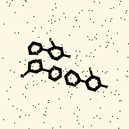 Brc1ccnc(-c2ccccn2)c1.Fc1ccc(-c2ccccn2)c(F)c1.Fc1ccc(-c2ccccn2)c(F)c1